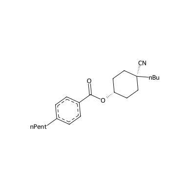 CCCCCc1ccc(C(=O)O[C@H]2CC[C@](C#N)(CCCC)CC2)cc1